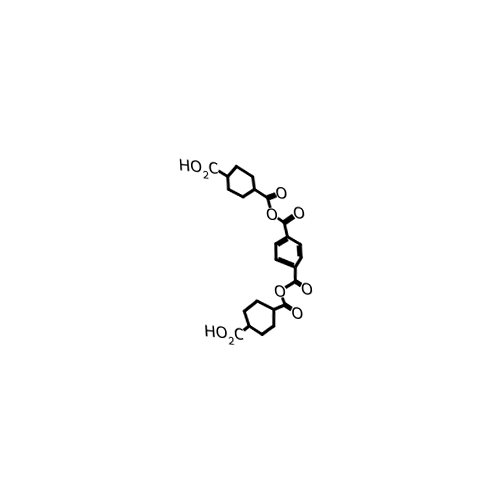 O=C(OC(=O)C1CCC(C(=O)O)CC1)c1ccc(C(=O)OC(=O)C2CCC(C(=O)O)CC2)cc1